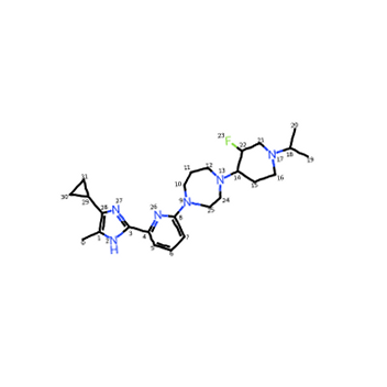 Cc1[nH]c(-c2cccc(N3CCCN(C4CCN(C(C)C)CC4F)CC3)n2)nc1C1CC1